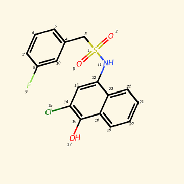 O=S(=O)(Cc1cccc(F)c1)Nc1cc(Cl)c(O)c2ccccc12